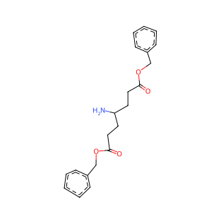 NC(CCC(=O)OCc1ccccc1)CCC(=O)OCc1ccccc1